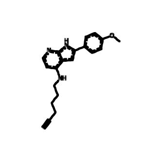 C#CCCCCNc1ccnc2[nH]c(-c3ccc(OC)cc3)cc12